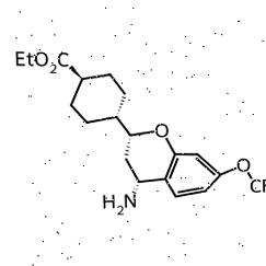 CCOC(=O)[C@H]1CC[C@H]([C@H]2C[C@@H](N)c3ccc(OC(F)(F)F)cc3O2)CC1